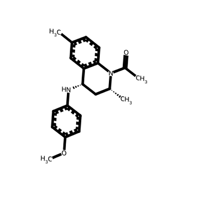 COc1ccc(N[C@H]2C[C@@H](C)N(C(C)=O)c3ccc(C)cc32)cc1